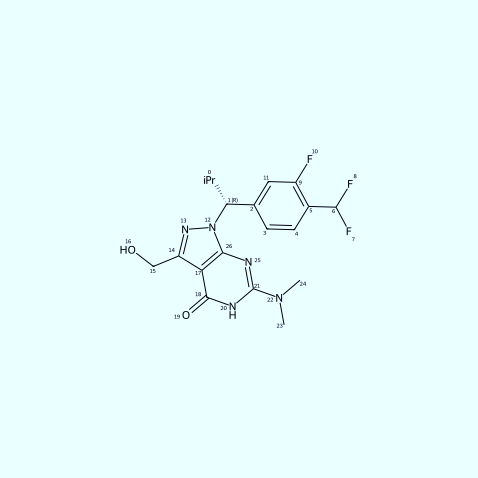 CC(C)[C@H](c1ccc(C(F)F)c(F)c1)n1nc(CO)c2c(=O)[nH]c(N(C)C)nc21